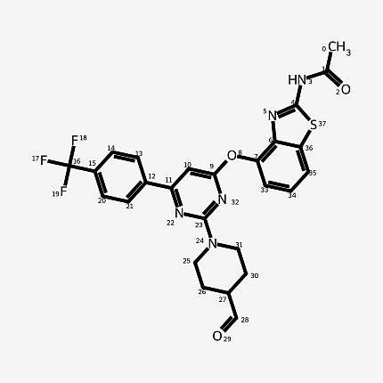 CC(=O)Nc1nc2c(Oc3cc(-c4ccc(C(F)(F)F)cc4)nc(N4CCC(C=O)CC4)n3)cccc2s1